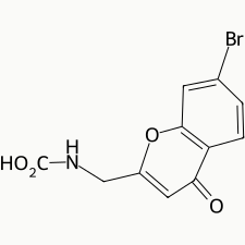 O=C(O)NCc1cc(=O)c2ccc(Br)cc2o1